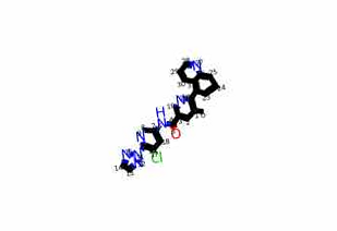 Cc1cc(C(=O)Nc2cnc(-n3nccn3)c(Cl)c2)cnc1-c1cccc2ncccc12